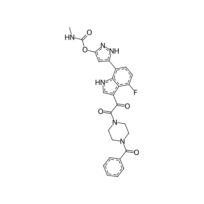 CNC(=O)Oc1cc(-c2ccc(F)c3c(C(=O)C(=O)N4CCN(C(=O)c5ccccc5)CC4)c[nH]c23)[nH]n1